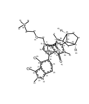 CN(C(=O)OC(C)(C)C)[C@@H]1C[C@@H]2CC[C@H]1N2c1nc2c(c(-c3ccc4nn(C)c(Cl)c4c3Cl)cn2COCC[Si](C)(C)C)c(=O)n1C